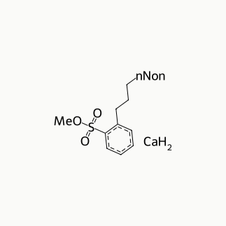 CCCCCCCCCCCCc1ccccc1S(=O)(=O)OC.[CaH2]